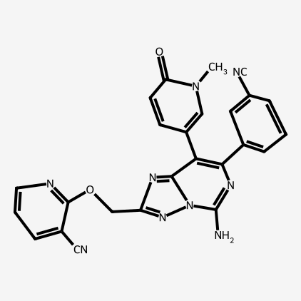 Cn1cc(-c2c(-c3cccc(C#N)c3)nc(N)n3nc(COc4ncccc4C#N)nc23)ccc1=O